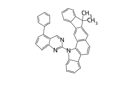 CC1(C)c2ccccc2-c2cc3c(ccc4c5ccccc5n(-c5ncc6c(-c7ccccc7)cccc6n5)c34)cc21